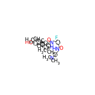 C=C(C)[C@@H]1CC[C@]2(C(=O)NCc3cc(C(=O)NCc4ccc(N(C)C)cc4)ccc3F)CC[C@]3(C)C(CCC4[C@@]5(C)CC[C@H](O)C(C)(C)C5CC[C@]43C)C12